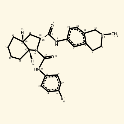 CN1CCc2cc(NC(=O)[C@H]3C[C@H]4CCCC[C@H]4N3C(=O)Nc3ccc(Br)cc3)ccc2C1